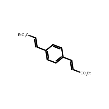 CCOC(=O)C=Cc1ccc(C=CC(=O)OCC)cc1